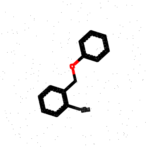 CC(C)(C)c1ccccc1COc1ccccc1